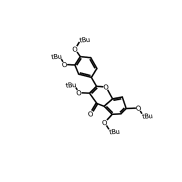 CC(C)(C)Oc1cc(OC(C)(C)C)c2c(=O)c(OC(C)(C)C)c(-c3ccc(OC(C)(C)C)c(OC(C)(C)C)c3)oc2c1